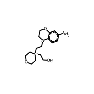 Nc1ccc2c(c1)OCCN2CC[N+]1(CCO)CCOCC1